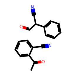 CC(=O)c1ccccc1C#N.N#CC(C=O)c1ccccc1